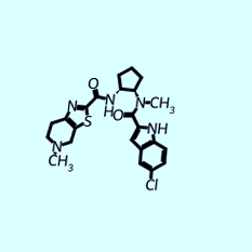 CN1CCc2nc(C(=O)N[C@@H]3CCC[C@H]3N(C)C(=O)c3cc4cc(Cl)ccc4[nH]3)sc2C1